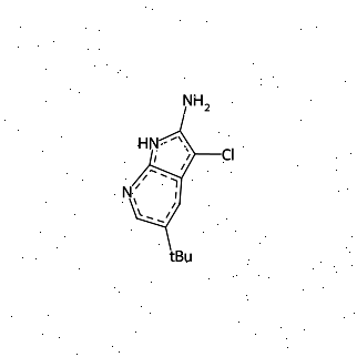 CC(C)(C)c1cnc2[nH]c(N)c(Cl)c2c1